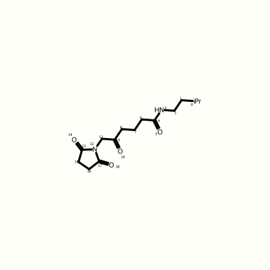 CC(C)CCNC(=O)CCCC(=O)CN1C(=O)CCC1=O